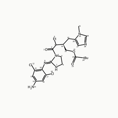 CCC(C(=O)N1CCN/C1=N\c1c(Cl)cc(N)cc1Cl)[C@H](COC(=O)C(C)(C)C)Cc1cncn1C